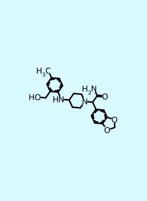 Cc1ccc(NC2CCN(C(C(N)=O)c3ccc4c(c3)OCO4)CC2)c(CO)c1